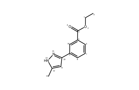 CCOC(=O)c1cccc(-c2cc(C)[nH]n2)c1